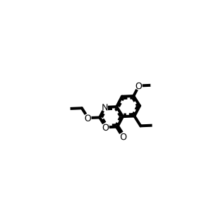 CCOc1nc2cc(OC)cc(CC)c2c(=O)o1